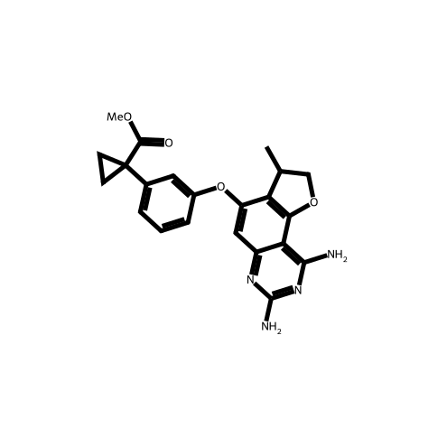 COC(=O)C1(c2cccc(Oc3cc4nc(N)nc(N)c4c4c3C(C)CO4)c2)CC1